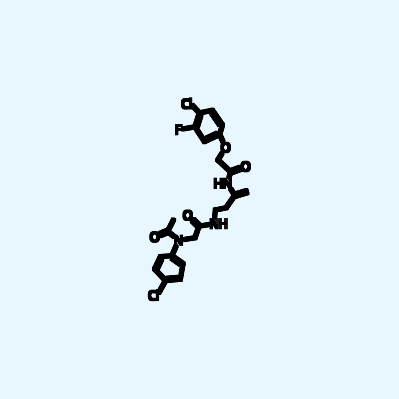 C=C(CCNC(=O)CN(C(C)=O)c1ccc(Cl)cc1)NC(=O)COc1ccc(Cl)c(F)c1